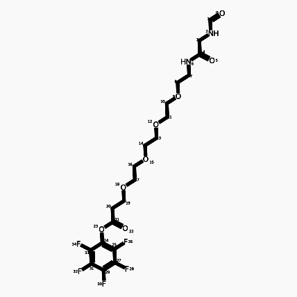 O=CNCC(=O)NCCOCCOCCOCCOCCC(=O)Oc1c(F)c(F)c(F)c(F)c1F